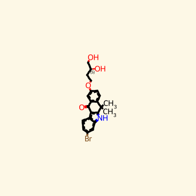 CC1(C)c2ccc(OCC[C@H](O)CO)cc2C(=O)c2c1[nH]c1cc(Br)ccc21